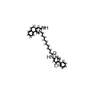 Cc1cc(NC(=O)CCCCCCCCCCn2nc3c(cc2=N)CCc2ccccc2-3)nnc1-c1ccccc1